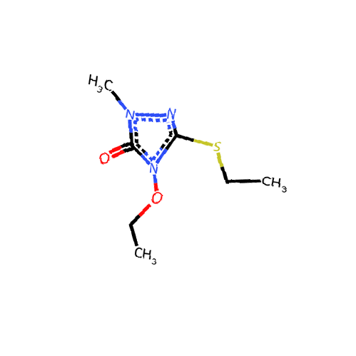 CCOn1c(SCC)nn(C)c1=O